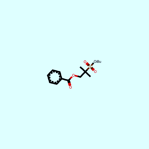 CC(C)COS(=O)(=O)C(C)(C)COC(=O)c1ccccc1